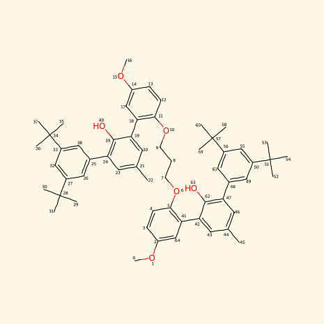 COc1ccc(OCCCOc2ccc(OC)cc2-c2cc(C)cc(-c3cc(C(C)(C)C)cc(C(C)(C)C)c3)c2O)c(-c2cc(C)cc(-c3cc(C(C)(C)C)cc(C(C)(C)C)c3)c2O)c1